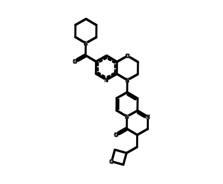 O=C(c1cnc2c(c1)OCCN2C1=CC2=NCC(CC3COC3)C(=O)N2C=C1)N1CCCCC1